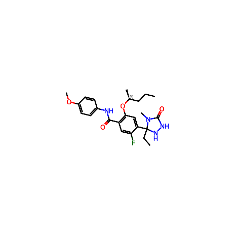 CCC[C@H](C)Oc1cc(C2(CC)NNC(=O)N2C)c(F)cc1C(=O)Nc1ccc(OC)cc1